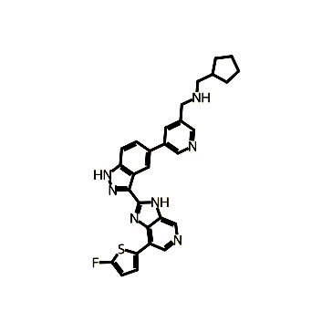 Fc1ccc(-c2cncc3[nH]c(-c4n[nH]c5ccc(-c6cncc(CNCC7CCCC7)c6)cc45)nc23)s1